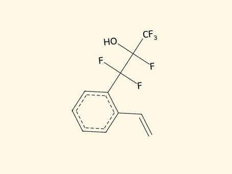 C=Cc1ccccc1C(F)(F)C(O)(F)C(F)(F)F